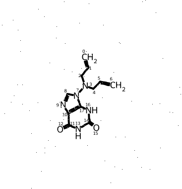 C=CCN(CC=C)n1cnc2c(=O)[nH]c(=O)[nH]c21